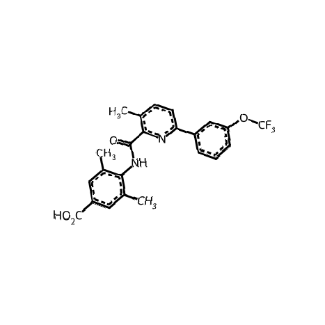 Cc1ccc(-c2cccc(OC(F)(F)F)c2)nc1C(=O)Nc1c(C)cc(C(=O)O)cc1C